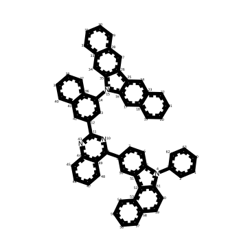 c1ccc(-n2c3ccc(-c4nc(-c5cc(-n6c7cc8ccccc8cc7c7cc8ccccc8cc76)c6ccccc6c5)nc5ccccc45)cc3c3c4ccccc4ccc32)cc1